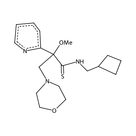 COC(CN1CCOCC1)(C(=S)NCC1CCC1)c1ccccn1